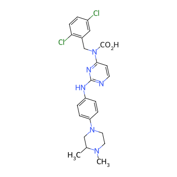 CC1CN(c2ccc(Nc3nccc(N(Cc4cc(Cl)ccc4Cl)C(=O)O)n3)cc2)CCN1C